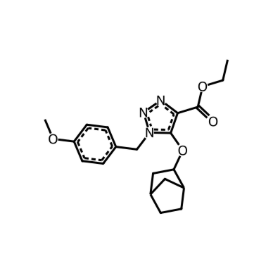 CCOC(=O)c1nnn(Cc2ccc(OC)cc2)c1OC1CC2CCC1C2